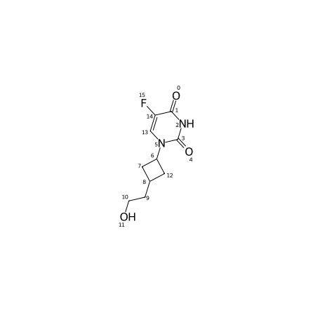 O=c1[nH]c(=O)n(C2CC(CCO)C2)cc1F